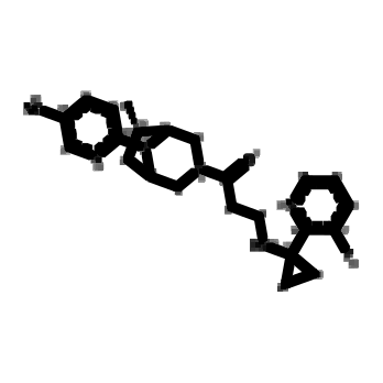 C[C@H]1CC2CN(C(=O)CCNC3(c4ncccc4F)CC3)CC1N2c1ccc(C#N)cn1